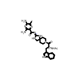 CC(=O)N[C@H](Cc1c[nH]c2ccccc12)C(=O)N1CCC2(CC1)CN/C(=N\C(=O)c1nc(I)c(N)nc1N)N2